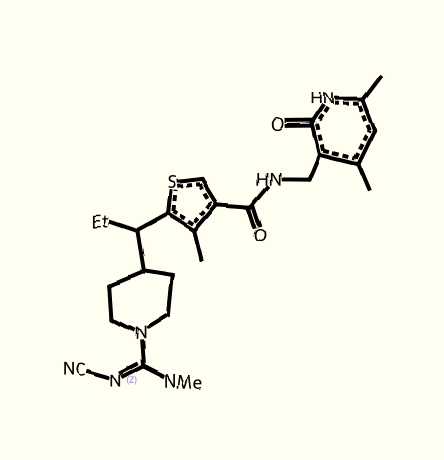 CCC(c1scc(C(=O)NCc2c(C)cc(C)[nH]c2=O)c1C)C1CCN(/C(=N\C#N)NC)CC1